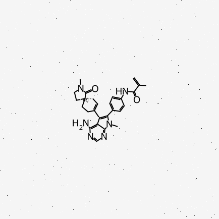 C=C(C)C(=O)Nc1ccc(-c2c(C3=CC[C@]4(CC3)CCN(C)C4=O)c3c(N)ncnc3n2C)cc1